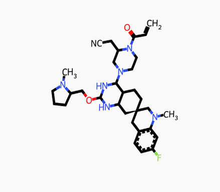 C=CC(=O)N1CCN(C2NC(OCC3CCCN3C)NC3C[C@]4(CCC32)Cc2ccc(F)cc2N(C)C4)CC1CC#N